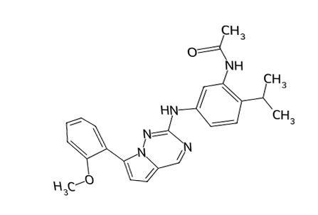 COc1ccccc1-c1ccc2cnc(Nc3ccc(C(C)C)c(NC(C)=O)c3)nn12